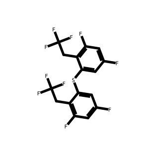 Fc1cc(F)c(CC(F)(F)F)c(Sc2cc(F)cc(F)c2CC(F)(F)F)c1